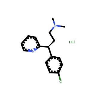 CN(C)CC[C@@H](c1ccc(Cl)cc1)c1ccccn1.Cl